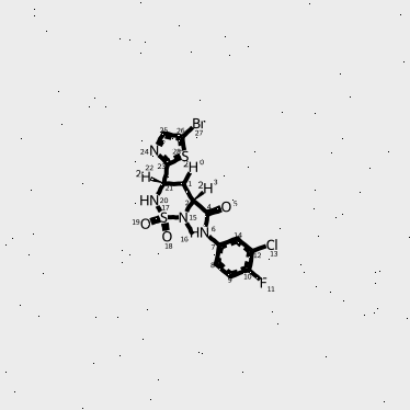 [2H]C1[C@]([2H])(C(=O)Nc2ccc(F)c(Cl)c2)N(C)S(=O)(=O)N[C@]1([2H])c1ncc(Br)s1